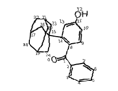 O=C(c1ccccc1)c1ccc(O)cc1C12CC3CC(CC(C3)C1)C2